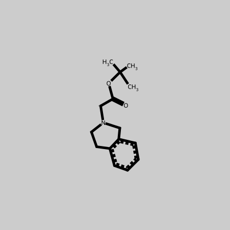 CC(C)(C)OC(=O)[CH]N1CCc2ccccc2C1